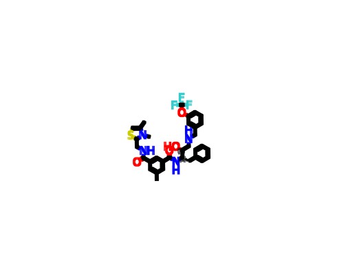 CC1=CSC(CNC(=O)c2cc(C)cc(C(=O)N[C@@H](Cc3ccccc3)[C@H](O)CNCc3cccc(OC(F)(F)F)c3)c2)N1C